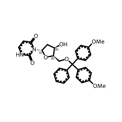 COc1ccc(C(OC[C@H]2O[C@H](n3c(=O)cc[nH]c3=O)C[C@H]2O)(c2ccccc2)c2ccc(OC)cc2)cc1